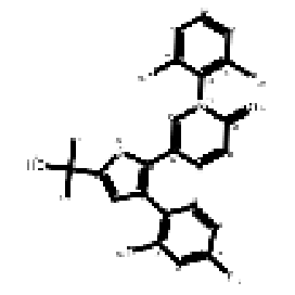 CC(C)(O)c1cc(-c2ccc(F)cc2F)c(-c2ccc(=O)n(-c3c(F)cccc3F)c2)s1